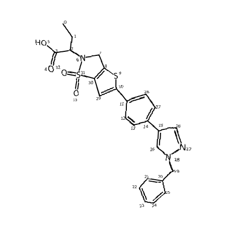 CCC(C(=O)O)N1Cc2sc(-c3ccc(-c4cnn(Cc5ccccc5)c4)cc3)cc2S1(=O)=O